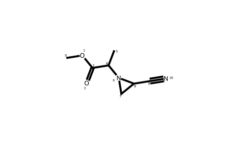 COC(=O)C(C)N1CC1C#N